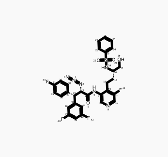 [N-]=[N+]=N[C@H](C(=O)Nc1cncc(F)c1CC[C@@H](CO)NS(=O)(=O)c1ccccc1)[C@@H](c1ccc(F)cc1)c1cc(F)cc(F)c1